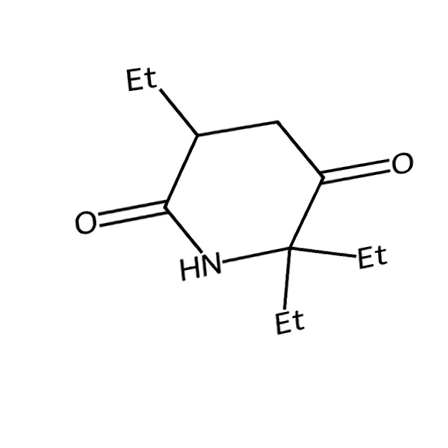 CCC1CC(=O)C(CC)(CC)NC1=O